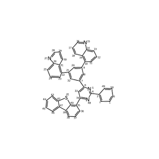 c1ccc(-c2nc(-c3cc(-c4cccc5ncccc45)cc(-c4cccc5ncccc45)c3)cc(-c3cccc4c3sc3ccccc34)n2)cc1